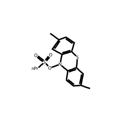 CCCS(=O)(=O)ON1c2ccc(C)cc2Sc2ccc(C)cc21